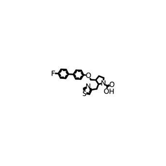 O=C(O)N1CCC(COc2ccc(-c3ccc(F)cc3)cc2)C1Cc1cscn1